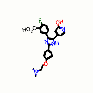 CN(C)CCOc1ccc(-c2nc(-c3ccc(F)c(C(=O)O)c3)c(-c3ccnc(O)c3)[nH]2)cc1